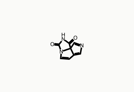 O=C1NC(=O)C23C=NC=C2C=CN13